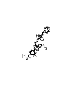 Cc1ccc(-c2nc(CSCC(=O)NCCN3CCOCC3)c(C)o2)cc1